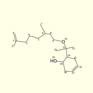 C=C(C)CCCC(C)CCOC(C)(C)C1CC=CCC1O